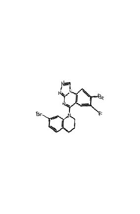 Fc1cc2c(N3CCCc4ccc(Br)cc43)nc3nncn3c2cc1Br